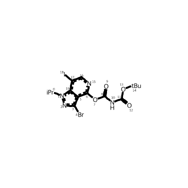 CC(C)n1nc(Br)c2c(OC(=O)NC(=O)OC(C)(C)C)ncc(I)c21